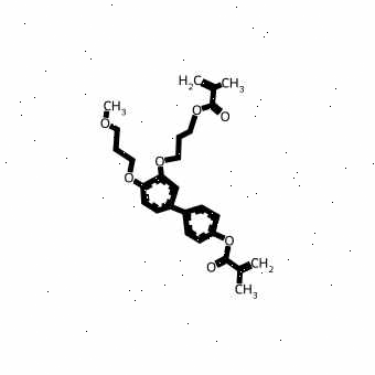 C=C(C)C(=O)OCCCOc1cc(-c2ccc(OC(=O)C(=C)C)cc2)ccc1OCCCOC